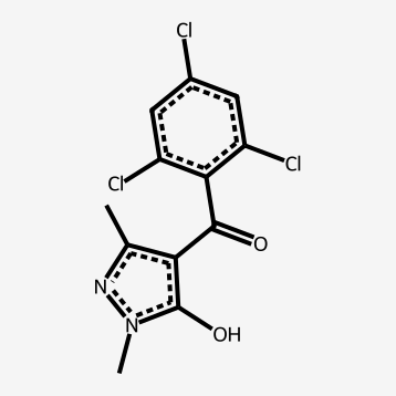 Cc1nn(C)c(O)c1C(=O)c1c(Cl)cc(Cl)cc1Cl